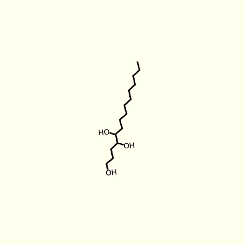 CCCCCCCCCCC(O)C(O)CCCO